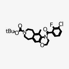 Cc1c2c(cc3c1N(C(=O)c1cccc(Cl)c1F)CCO3)CCN(C(=O)OC(C)(C)C)CC2